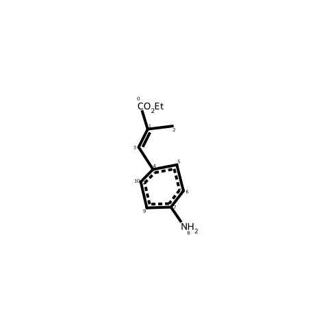 CCOC(=O)/C(C)=C/c1ccc(N)cc1